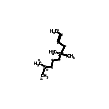 CC=CC[Si](C)(C)CCCN(C)C